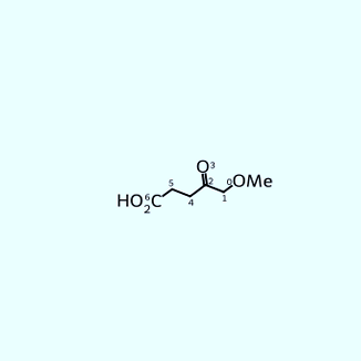 COCC(=O)CCC(=O)O